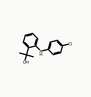 CC(C)(O)c1ccccc1Nc1ccc(Cl)cc1